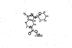 CC(C)(C)OC(=O)N1CCc2c(I)nn(C3CCCCO3)c2C1